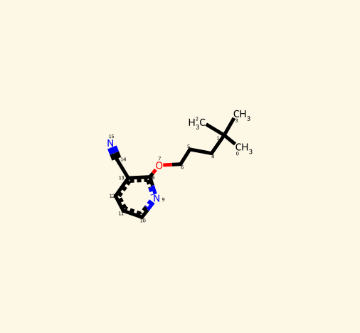 CC(C)(C)CCCOc1ncccc1C#N